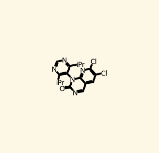 CC(C)c1ncnc(C(C)C)c1-n1c(=O)ncc2cc(Cl)c(Cl)nc21